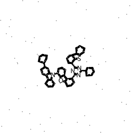 c1ccc(-c2ccc3c4ccccc4n(-c4cccc5c4oc4cccc(-c6nc(-c7ccccc7)nc(-c7cccc8c7sc7ccccc78)n6)c45)c3c2)cc1